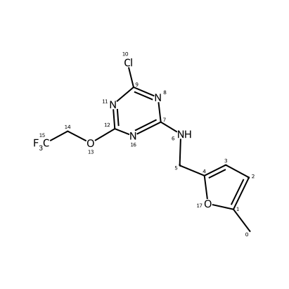 Cc1ccc(CNc2nc(Cl)nc(OCC(F)(F)F)n2)o1